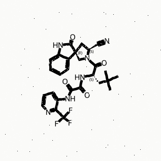 CC(C)(C)C[C@H](NC(=O)C(=O)Nc1cccnc1C(F)(F)F)C(=O)N1C[C@]2(C[C@H]1C#N)C(=O)Nc1ccccc12